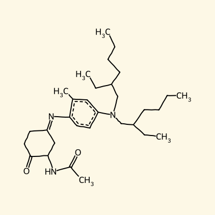 CCCCC(CC)CN(CC(CC)CCCC)c1ccc(N=C2CCC(=O)C(NC(C)=O)C2)c(C)c1